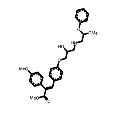 COC(=O)C(=Cc1ccc(OCC(O)CNCC(OC)Oc2ccccc2)cc1)c1ccc(OC)cc1